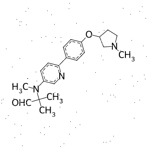 CN1CCC(Oc2ccc(-c3ccc(N(C)C(C)(C)C=O)cn3)cc2)C1